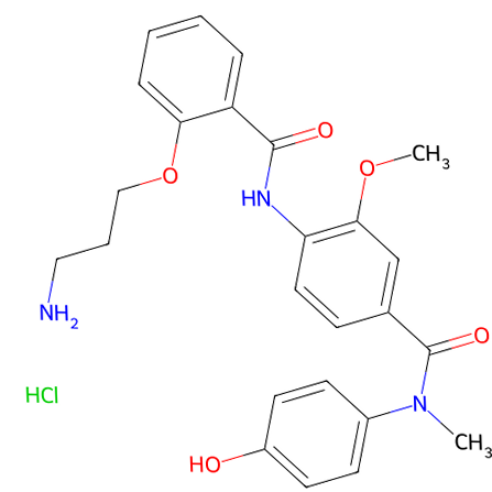 COc1cc(C(=O)N(C)c2ccc(O)cc2)ccc1NC(=O)c1ccccc1OCCCN.Cl